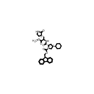 COC(=O)C(C[C@@H]1CCNC1=O)NC(=O)[C@@H]1C[C@@H](C2CCCCC2)CN1C(=O)OCC1c2ccccc2-c2ccccc21